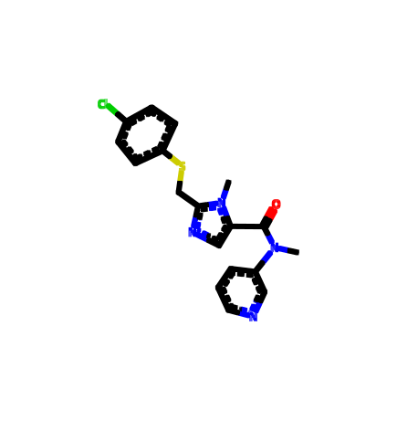 CN(C(=O)c1cnc(CSc2ccc(Cl)cc2)n1C)c1cccnc1